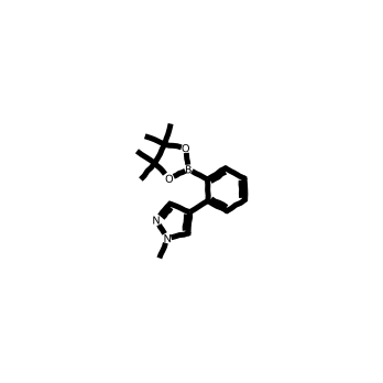 Cn1cc(-c2ccccc2B2OC(C)(C)C(C)(C)O2)cn1